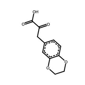 O=C(O)C(=O)Cc1ccc2c(c1)OCCO2